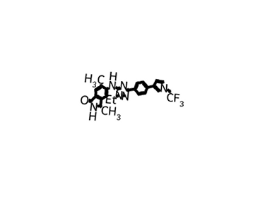 CCn1nc(-c2ccc(-c3ccn(CC(F)(F)F)c3)cc2)nc1Nc1cc2c(cc1C)C(=O)NC2C